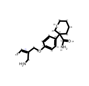 NC/C(=C\F)COc1ccc(C2(C(N)=O)CCCCCC2)cc1